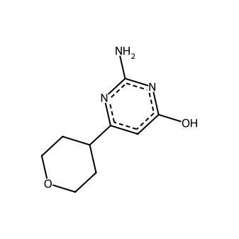 Nc1nc(O)cc(C2CCOCC2)n1